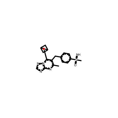 Cc1nc2ncnn2c(N2CC3CC2C3)c1Cc1ccc(S(C)(=N)=O)cc1